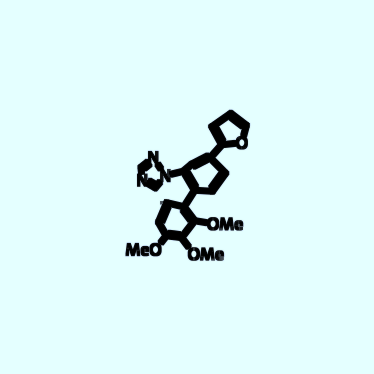 COc1c[c]c(-c2ccc(-c3ccco3)cc2-n2cncn2)c(OC)c1OC